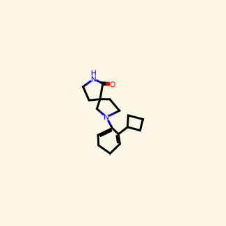 O=C1NCCC12CCN(C1=CC[CH]C=C1C1CCC1)C2